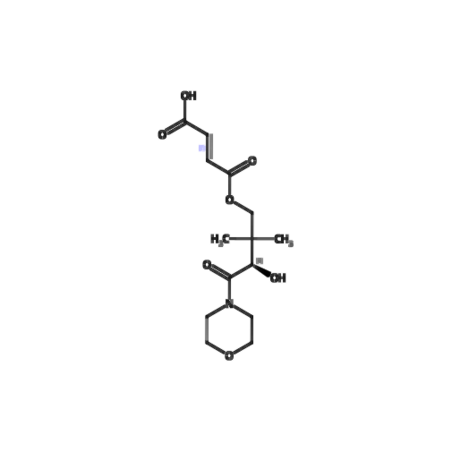 CC(C)(COC(=O)/C=C/C(=O)O)[C@@H](O)C(=O)N1CCOCC1